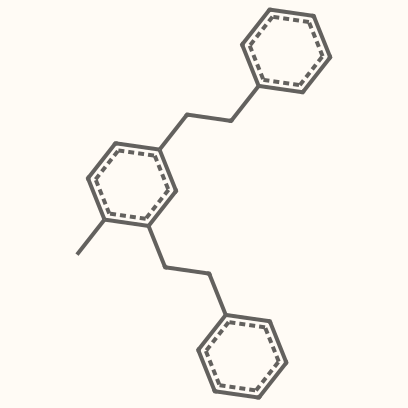 Cc1ccc(CCc2ccccc2)cc1CCc1ccccc1